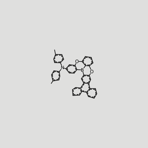 Cc1ccc(N(c2ccc(C)cc2)c2ccc3c(c2)Oc2cccc4c2B3c2cc3c5ccccc5c5ccccc5c3cc2O4)cc1